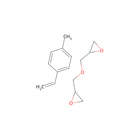 C(OCC1CO1)C1CO1.C=Cc1ccc(C)cc1